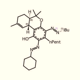 CCCCCc1c(N=NC2CCCCC2)c(O)c2c(c1/N=N/[C@@H](C)CC)OC(C)(C)[C@@H]1CCC(C)=C[C@@H]21